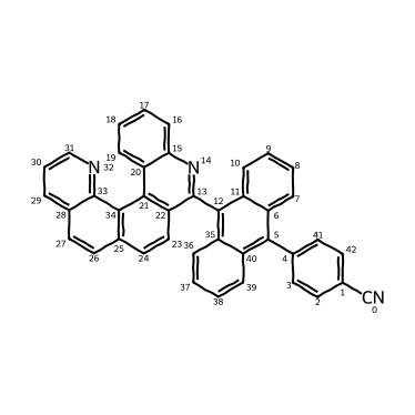 N#Cc1ccc(-c2c3ccccc3c(-c3nc4ccccc4c4c3ccc3ccc5cccnc5c34)c3ccccc23)cc1